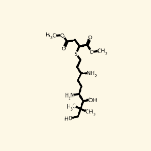 COC(=O)CC(SCCC(N)CCC(N)C(O)C(C)(C)CO)C(=O)OC